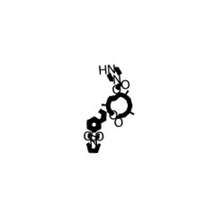 C/C(=C\c1cccc(S(=O)(=O)N2CCCC2)c1)[C@H]1OC(=O)C[C@H](C)CC[C@H](C)[C@@H](OC(=O)N2CCNCC2)/C=C/[C@@H]1C